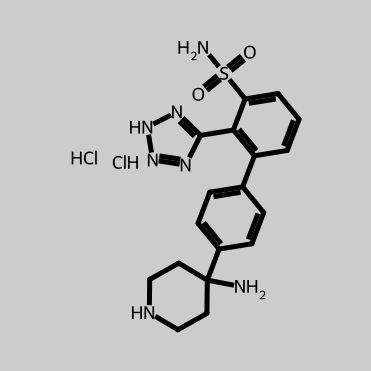 Cl.Cl.NC1(c2ccc(-c3cccc(S(N)(=O)=O)c3-c3nn[nH]n3)cc2)CCNCC1